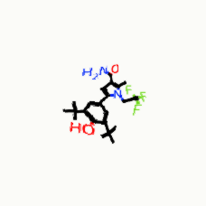 Cc1c(C(N)=O)cc(-c2cc(C(C)(C)C)c(O)c(C(C)(C)C)c2)n1CC(F)(F)F